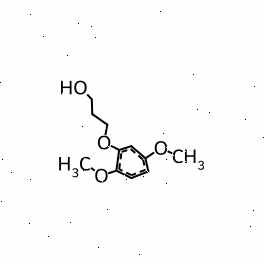 COc1ccc(OC)c(OCCCO)c1